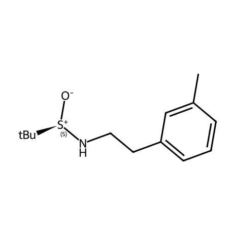 Cc1cccc(CCN[S@+]([O-])C(C)(C)C)c1